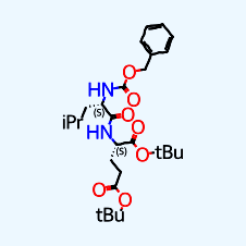 CC(C)C[C@H](NC(=O)OCc1ccccc1)C(=O)N[C@@H](CCC(=O)OC(C)(C)C)C(=O)OC(C)(C)C